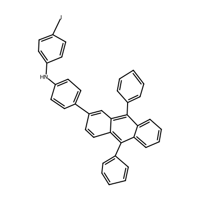 Ic1ccc(Nc2ccc(-c3ccc4c(-c5ccccc5)c5ccccc5c(-c5ccccc5)c4c3)cc2)cc1